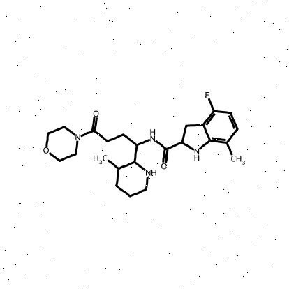 Cc1ccc(F)c2c1NC(C(=O)NC(CCC(=O)N1CCOCC1)C1NCCCC1C)C2